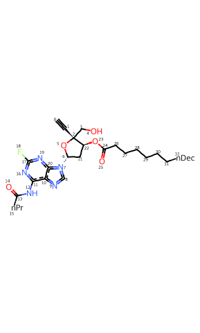 C#C[C@]1(CO)O[C@@H](n2cnc3c(NC(=O)CCC)nc(F)nc32)C[C@@H]1OC(=O)CCCCCCCCCCCCCCCC